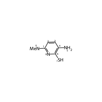 CNc1ccc(N)c(S)n1